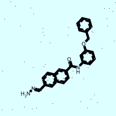 NN=Cc1ccc2cc(C(=O)Nc3cccc(OCc4ccccc4)c3)ccc2c1